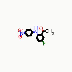 CC(=O)c1cc(F)ccc1Nc1ccc([N+](=O)[O-])cc1